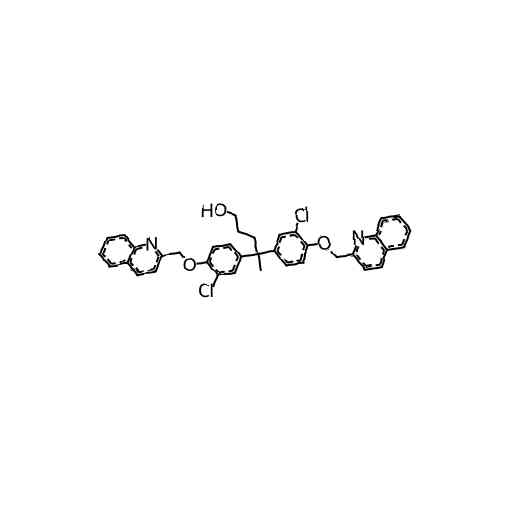 CC(CCCO)(c1ccc(OCc2ccc3ccccc3n2)c(Cl)c1)c1ccc(OCc2ccc3ccccc3n2)c(Cl)c1